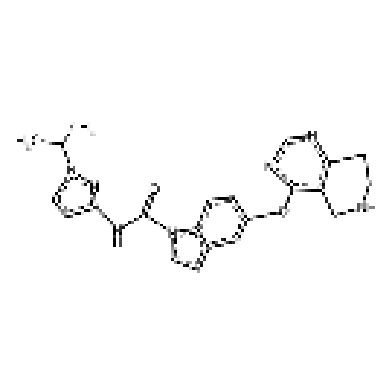 CC(C)n1ccc(NC(=O)n2ccc3cc(Oc4ncnc5c4CNCC5)ccc32)n1